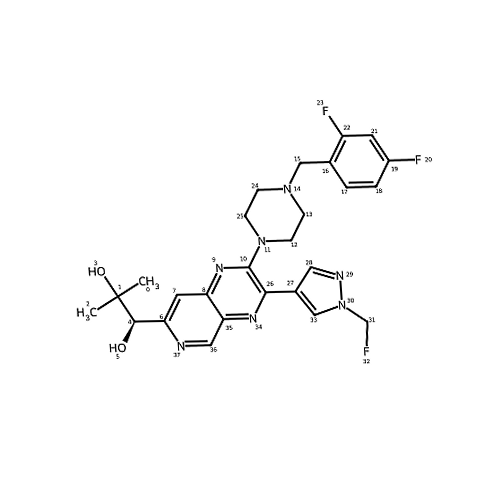 CC(C)(O)[C@H](O)c1cc2nc(N3CCN(Cc4ccc(F)cc4F)CC3)c(-c3cnn(CF)c3)nc2cn1